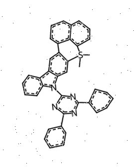 CS1(C)c2cc3c(cc2-c2cccc4cccc1c24)c1ccccc1n3-c1nc(-c2ccccc2)nc(-c2ccccc2)n1